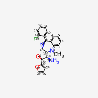 CN1c2ccccc2C(c2ccccc2F)=NCC1C(N)C(=O)c1ccco1